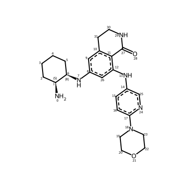 N[C@H]1CCCC[C@H]1Nc1cc2c(c(Nc3ccc(N4CCOCC4)nc3)c1)C(=O)NCC2